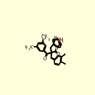 Cc1ccc(CC(Cc2cccnc2)(C(=O)c2cc(C(F)(F)F)cc(C(F)(F)F)c2)C(=O)N2CCNCC2)cc1C